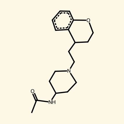 CC(=O)NC1CCN(CCC2CCOc3ccccc32)CC1